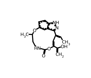 C=C(O)/C1=C\C(=C/C)c2n[nH]c3ccc(cc23)OC(C)CCNC(=O)O1